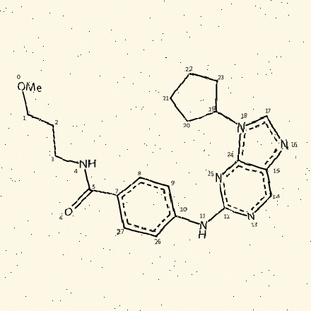 COCCCNC(=O)c1ccc(Nc2ncc3ncn(C4CCCC4)c3n2)cc1